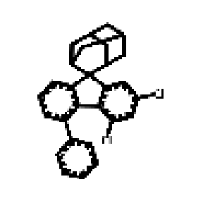 Clc1cc(Cl)c2c(c1)C1(c3cccc(-c4ccccc4)c3-2)C2CC3CC(C2)CC1C3